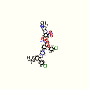 CCN1CCC(Nc2ccc(S(=O)(=O)NC(=O)c3ccc(N4CCN(CC5=C(c6ccc(Cl)cc6)CC(C)(C)CC5)CC4)cc3Oc3cccc(Cl)c3)cc2[N+](=O)[O-])CC1